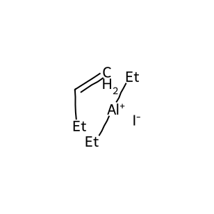 C=CCC.C[CH2][Al+][CH2]C.[I-]